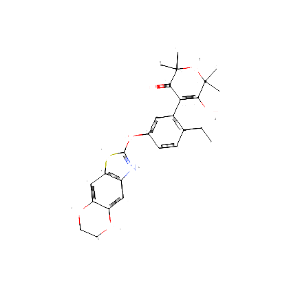 CCc1ccc(Oc2nc3cc4c(cc3s2)OCCO4)cc1C1=C(O)C(C)(C)OC(C)(C)C1=O